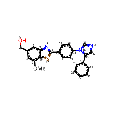 COc1cc(CO)cc2nc(-c3ccc(-n4cncc4-c4ccccc4)cc3)sc12